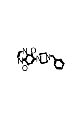 O=C1C=C(N2CCN(Cc3ccccc3)CC2)C(=O)c2nccnc21